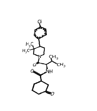 CC(C)[C@@H](NC(=O)C1CCCC(=O)C1)C(=O)N1CCC(c2ccc(Cl)cc2)C(C)(C)C1